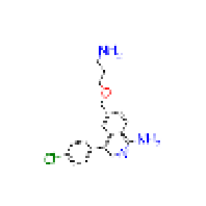 NCCCOCc1ccc2c(N)ncc(-c3ccc(Cl)cc3)c2c1